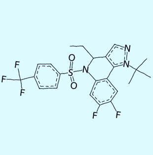 CCC1c2cnn(C(C)(C)C)c2-c2cc(F)c(F)cc2N1S(=O)(=O)c1ccc(C(F)(F)F)cc1